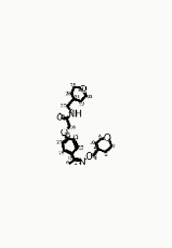 C/C(=N/OCC1CCOCC1)c1ccc(OCC(=O)NCC2CCOCC2)cc1